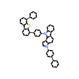 c1ccc(-c2ccc(-n3ccc4c3ccc3c5ccccc5n(-c5ccc(-c6cccc7c6sc6c(-c8ccccc8)cccc67)cc5)c34)cc2)cc1